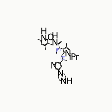 C=C(NCc1c(C)cc(C)[nH]c1=O)/C(=C/C)c1c(C)cn(C(C)C)c1/C=C(\C)c1cncc(N2CCNCC2)c1